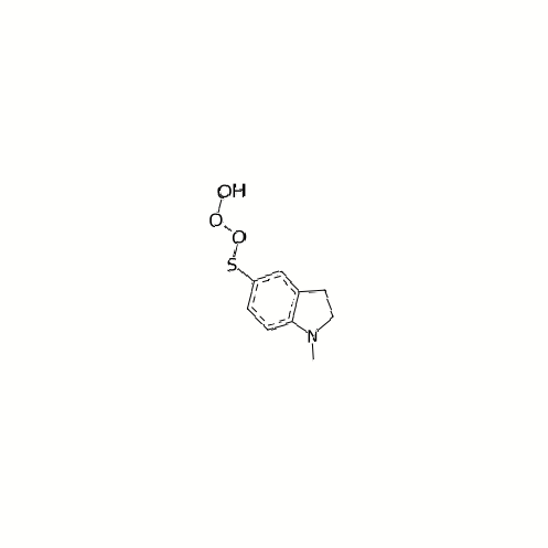 CN1CCc2cc(SOOO)ccc21